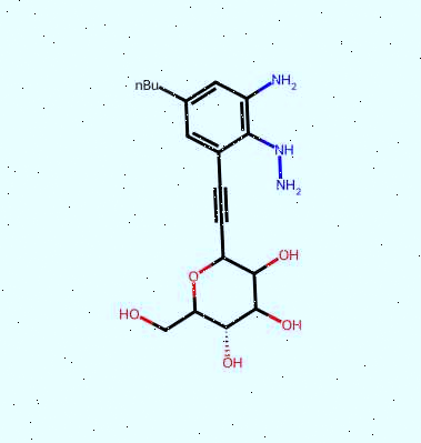 CCCCc1cc(N)c(NN)c(C#CC2OC(CO)[C@@H](O)C(O)C2O)c1